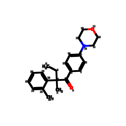 CCC(C)(C(=O)c1ccc(N2CCOCC2)cc1)c1ccccc1C